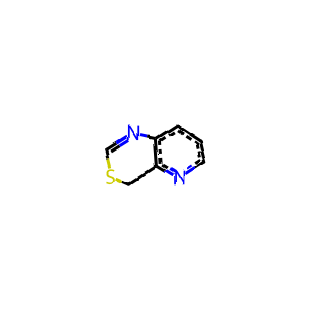 C1=Nc2cccnc2CS1